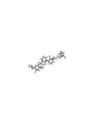 CCOc1cc(O[C@H]2CCc3c(-c4cccc(OCCCN5C(C)CC5(C)C)c4C)cccc32)c(Cl)cc1C